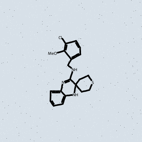 COc1c(Cl)cccc1CNC1=Nc2ccccc2NC12CCSCC2